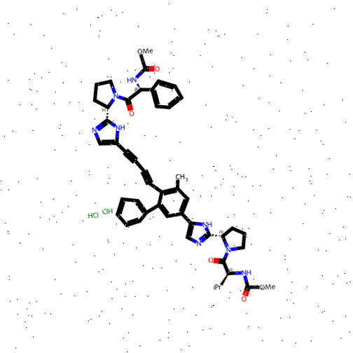 COC(=O)N[C@H](C(=O)N1CCC[C@H]1c1ncc(-c2cc(C)c(C#CC#Cc3cnc([C@@H]4CCCN4C(=O)[C@H](NC(=O)OC)c4ccccc4)[nH]3)c(-c3ccccc3)c2)[nH]1)C(C)C.Cl.Cl